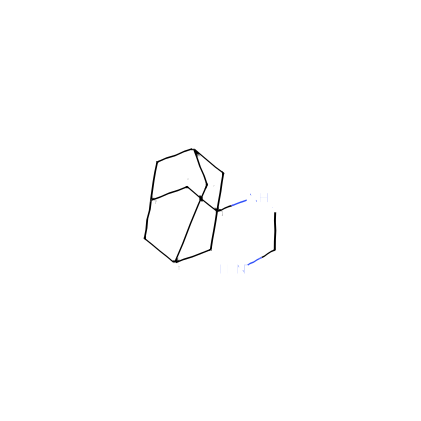 CCN.NC12CC3CC(CC(C3)C1)C2